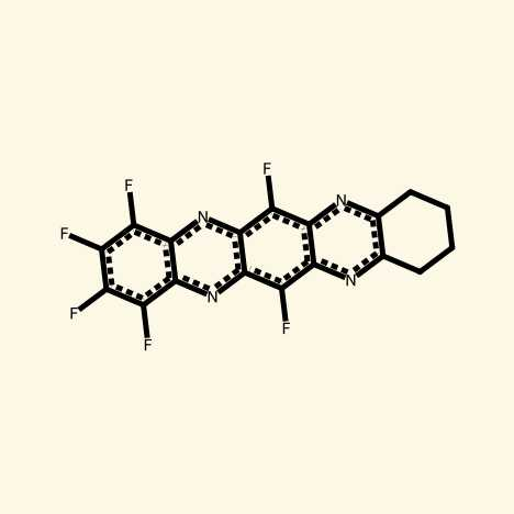 Fc1c(F)c(F)c2nc3c(F)c4nc5c(nc4c(F)c3nc2c1F)CCCC5